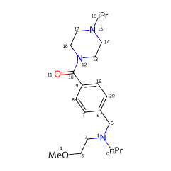 CCCN(CCOC)Cc1ccc(C(=O)N2CCN(C(C)C)CC2)cc1